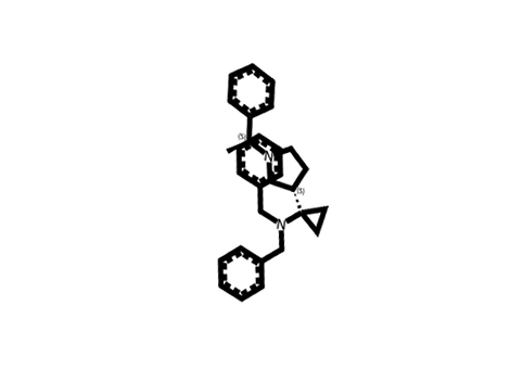 C[C@@H](c1ccccc1)N1CC[C@H](C2(N(Cc3ccccc3)Cc3ccccc3)CC2)C1